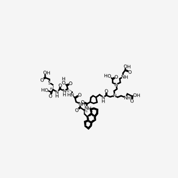 O=C(O)CNCCN(CCN(CCNCC(=O)O)CC(=O)NCC1CCC(C(=O)N[C@@H](Cc2c3ccccc3cc3ccccc23)C(=O)NCC(=O)NC[C@H](NC(=O)N[C@@H](CSCC(=O)O)C(=O)O)C(=O)O)CC1)CC(=O)O